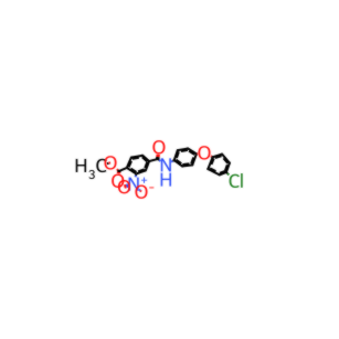 COC(=O)c1ccc(C(=O)Nc2ccc(Oc3ccc(Cl)cc3)cc2)cc1[N+](=O)[O-]